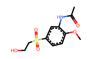 COc1ccc(S(=O)(=O)CCO)cc1NC(C)=O